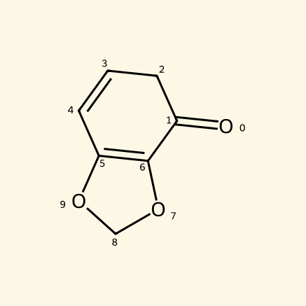 O=C1CC=CC2=C1OCO2